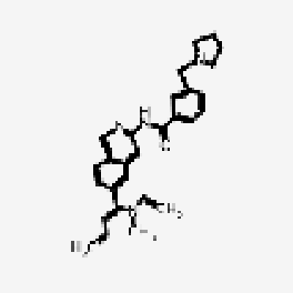 C=C/C=C(/c1ccc2cnc(NC(=O)c3cccc(CN4CCCC4)c3)cc2c1)N(C)C=C